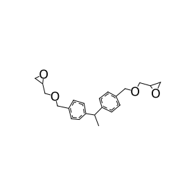 CC(c1ccc(COCC2CO2)cc1)c1ccc(COCC2CO2)cc1